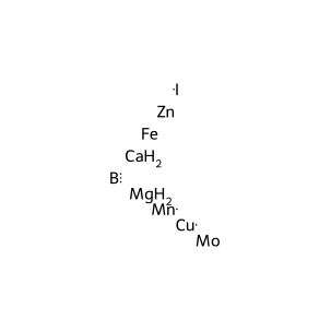 [B].[CaH2].[Cu].[Fe].[I].[MgH2].[Mn].[Mo].[Zn]